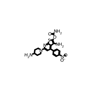 NC(=O)Oc1sc2nc(N3CCC(N)CC3)cc(-c3ccc([N+](=O)[O-])cc3)c2c1N